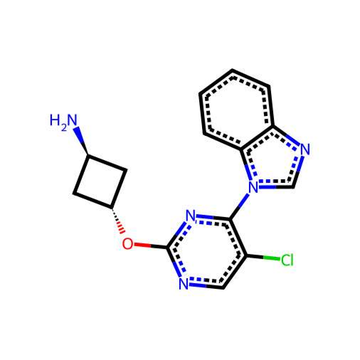 N[C@H]1C[C@H](Oc2ncc(Cl)c(-n3cnc4ccccc43)n2)C1